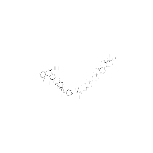 NC(=O)c1ccc(Nc2nc(Nc3ccc(CC(=O)NC4CC5(CCN(C6CCN(c7ccc(C8CCC(=O)NC8=O)cc7F)CC6)CC5)C4)cc3)ncc2F)cc1-c1ccccc1Cl